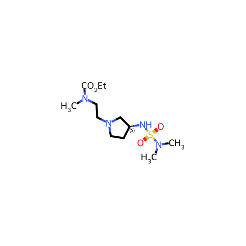 CCOC(=O)N(C)CCN1CC[C@H](NS(=O)(=O)N(C)C)C1